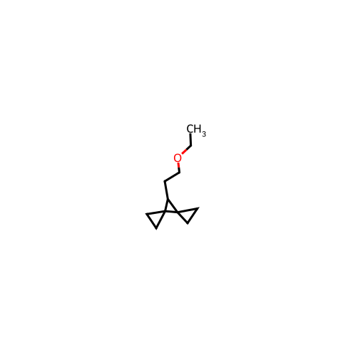 CCOCCC1C2(CC2)C12CC2